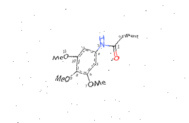 [CH2]CCCCC(=O)Nc1cc(OC)c(OC)c(OC)c1